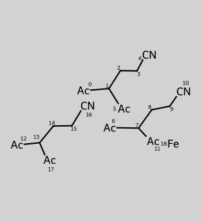 CC(=O)C(CCC#N)C(C)=O.CC(=O)C(CCC#N)C(C)=O.CC(=O)C(CCC#N)C(C)=O.[Fe]